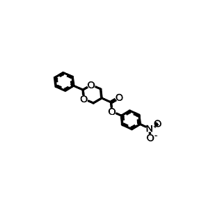 O=C(Oc1ccc([N+](=O)[O-])cc1)C1COC(c2ccccc2)OC1